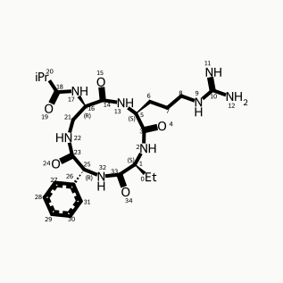 CC[C@@H]1NC(=O)[C@H](CCCNC(=N)N)NC(=O)[C@H](NC(=O)C(C)C)CNC(=O)[C@@H](c2ccccc2)NC1=O